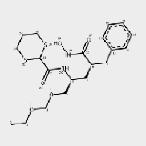 CCOCOC[C@H](C[C@H](Cc1ccccc1)C(=O)NO)NC(=O)C1SCCCS1